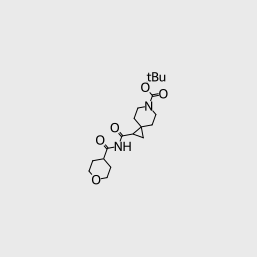 CC(C)(C)OC(=O)N1CCC2(CC1)CC2C(=O)NC(=O)C1CCOCC1